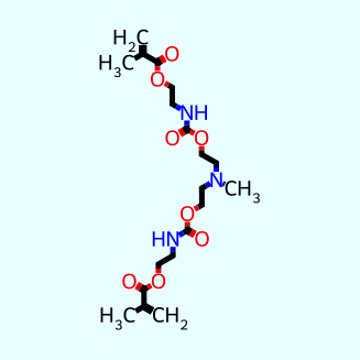 C=C(C)C(=O)OCCNC(=O)OCCN(C)CCOC(=O)NCCOC(=O)C(=C)C